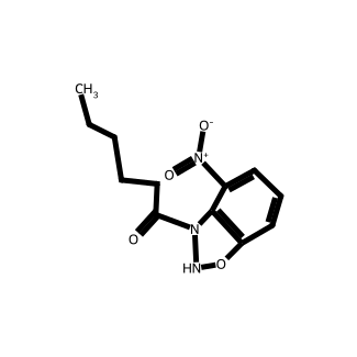 CCCCCC(=O)N1NOc2cccc([N+](=O)[O-])c21